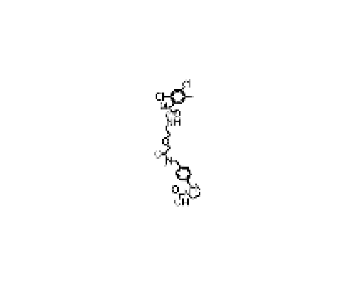 Cc1cc(S(=O)(=O)CNCCOCC(=O)N(C)Cc2ccc(C3=NCCN3C(=O)O)cc2)c(Cl)cc1Cl